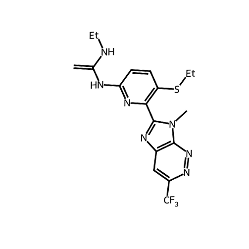 C=C(NCC)Nc1ccc(SCC)c(-c2nc3cc(C(F)(F)F)nnc3n2C)n1